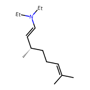 CCN(C=C[C@@H](C)CCC=C(C)C)CC